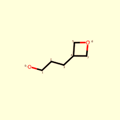 [O]CCCC1COC1